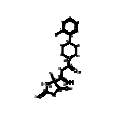 Cc1ccccc1C1CCN(C(=O)CC(=N)C2(C)NC(=O)CC2=O)CC1